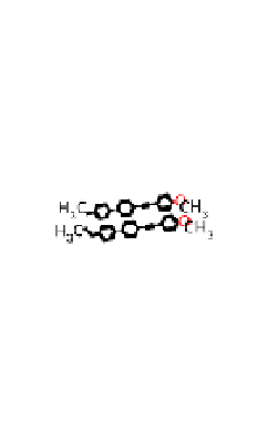 CCCc1ccc([C@H]2CC[C@H](C#Cc3ccc(OC)cc3)CC2)cc1.CCc1ccc([C@H]2CC[C@H](C#Cc3ccc(OC)cc3)CC2)cc1